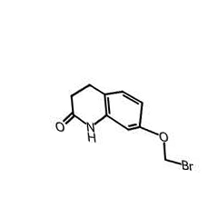 O=C1CCc2ccc(OCBr)cc2N1